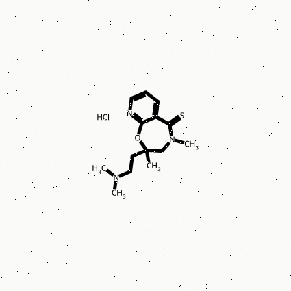 CN(C)CCC1(C)CN(C)C(=S)c2cccnc2O1.Cl